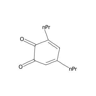 CCCC1=CC(=O)C(=O)C(CCC)=C1